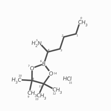 CCCCC(N)B1OC(C)(C)C(C)(C)O1.Cl